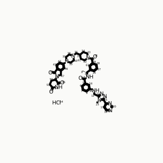 C[C@@H](NC(=O)c1cccc(NCc2nnc(-c3ccncn3)n2C)c1)c1cccc(C(=O)N2CCC(CN3CCN(c4ccc5c(c4)CN(C4CCC(=O)NC4=O)C5=O)CC3)CC2)c1.Cl